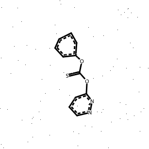 S=C(Oc1ccccc1)Oc1cccnn1